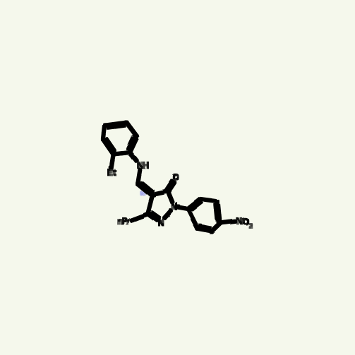 CCCC1=NN(c2ccc([N+](=O)[O-])cc2)C(=O)/C1=C\Nc1ccccc1CC